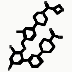 Cc1cc(C2CCN(C(=O)C3COC3)CC2)ccc1COc1c(F)cc(F)cc1-c1cccc(N2CCC(C(=O)O)CC2)n1